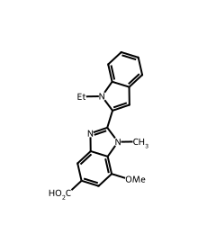 CCn1c(-c2nc3cc(C(=O)O)cc(OC)c3n2C)cc2ccccc21